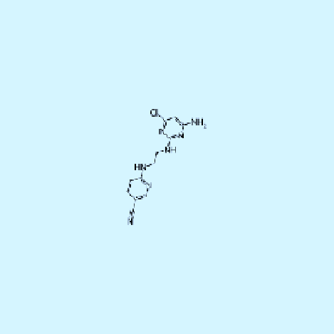 N#Cc1ccc(NCCNc2nc(N)cc(Cl)n2)nc1